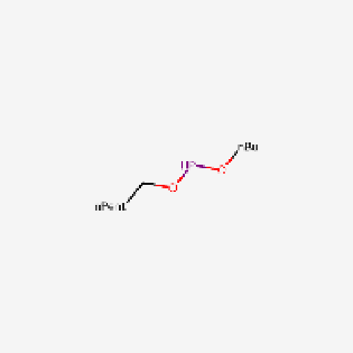 CCCCCCOPOCCCC